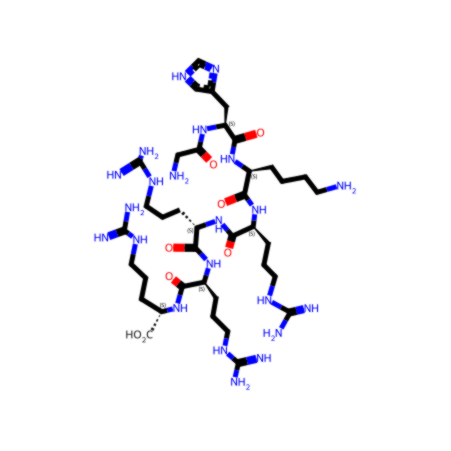 N=C(N)NCCC[C@H](NC(=O)[C@H](CCCNC(=N)N)NC(=O)[C@H](CCCNC(=N)N)NC(=O)[C@H](CCCNC(=N)N)NC(=O)[C@H](CCCCN)NC(=O)[C@H](Cc1c[nH]cn1)NC(=O)CN)C(=O)O